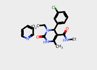 CCNC(=O)C1=C(C)NC(=O)N(CC(=O)O)C1c1cccc(Cl)c1.c1ccncc1